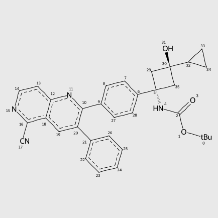 CC(C)(C)OC(=O)N[C@]1(c2ccc(-c3nc4ccnc(C#N)c4cc3-c3ccccc3)cc2)C[C@](O)(C2CC2)C1